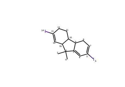 CC1(C)C2=CC(I)=CCC2C2CCC(I)=CC21